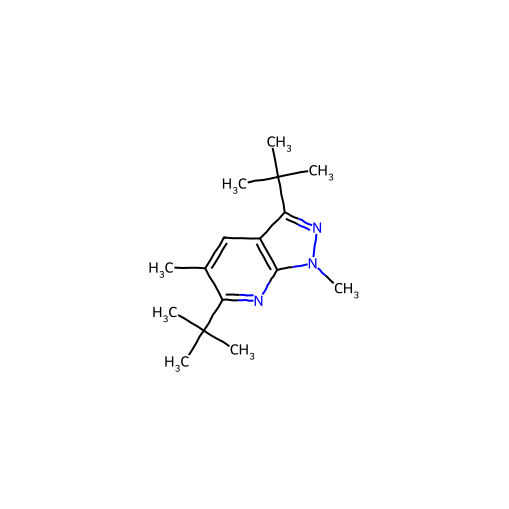 Cc1cc2c(C(C)(C)C)nn(C)c2nc1C(C)(C)C